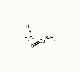 [BaH2].[CaH2].[O]=[Cu].[Tl].[Y]